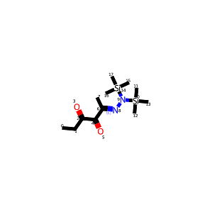 CCC(=O)C(=O)/C(C)=N/N([Si](C)(C)C)[Si](C)(C)C